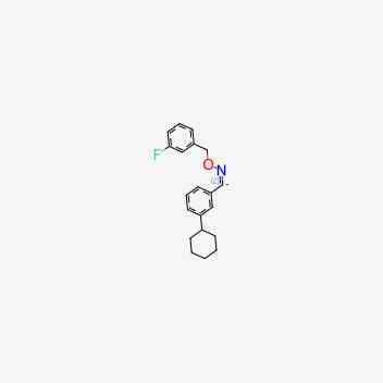 Fc1cccc(CO/N=[C]\c2cccc(C3CCCCC3)c2)c1